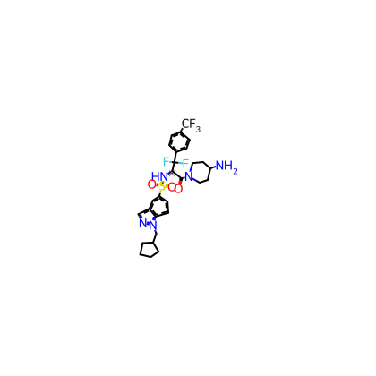 NC1CCN(C(=O)[C@@H](NS(=O)(=O)c2ccc3c(cnn3CC3CCCC3)c2)C(F)(F)c2ccc(C(F)(F)F)cc2)CC1